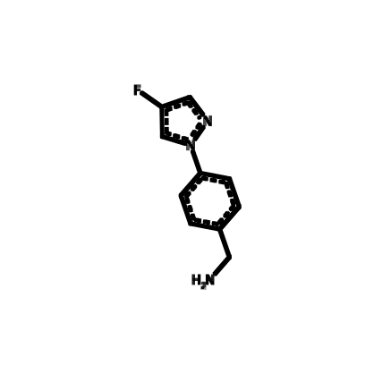 NCc1ccc(-n2cc(F)cn2)cc1